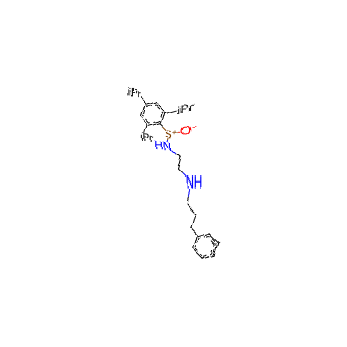 CC(C)c1cc(C(C)C)c([S+]([O-])NCCNCCCc2ccccc2)c(C(C)C)c1